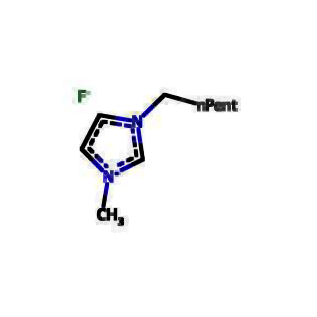 CCCCCCn1cc[n+](C)c1.[F-]